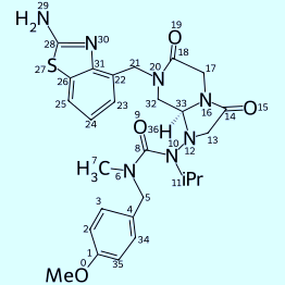 COc1ccc(CN(C)C(=O)N(C(C)C)N2CC(=O)N3CC(=O)N(Cc4cccc5sc(N)nc45)C[C@@H]32)cc1